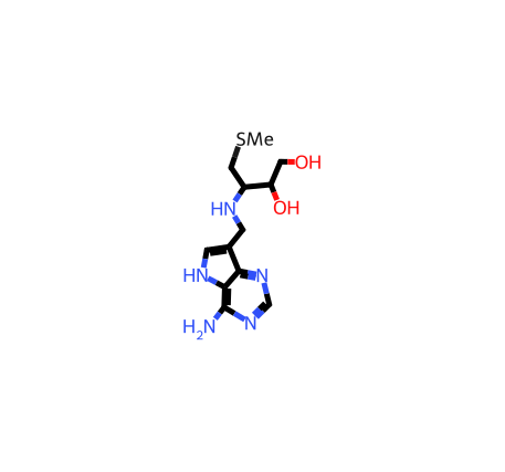 CSCC(NCc1c[nH]c2c(N)ncnc12)C(O)CO